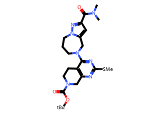 CSc1nc2c(c(N3CCCn4nc(C(=O)N(C)C)cc4C3)n1)CCN(C(=O)OC(C)(C)C)C2